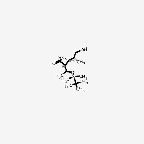 CC(O[Si](C)(C)C(C)(C)C)[C@H]1C(=O)N[C@@H]1[C@@H](C)CO